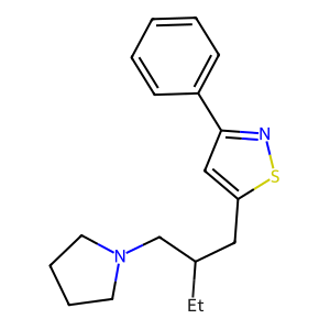 CCC(Cc1cc(-c2ccccc2)ns1)CN1CCCC1